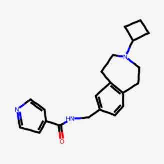 O=C(NCc1ccc2c(c1)CCN(C1CCC1)CC2)c1ccncc1